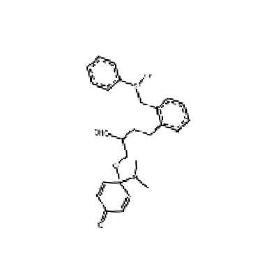 CN(C)C1(OCC(C=O)CCc2ccccc2C[S+]([O-])c2ccccc2)C=CC(=O)C=C1